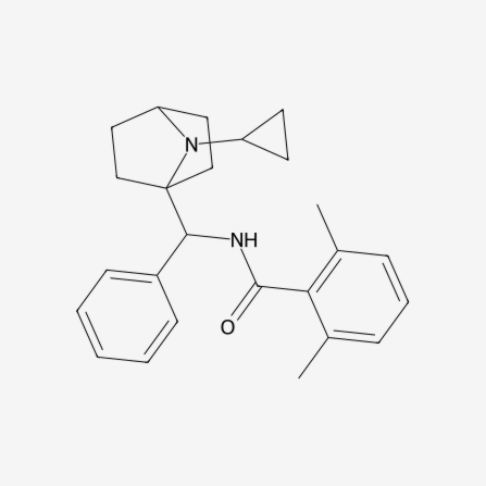 Cc1cccc(C)c1C(=O)NC(c1ccccc1)C12CCC(CC1)N2C1CC1